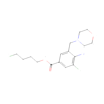 Nc1c(Br)cc(C(=O)OCCCCCl)cc1CN1CCOCC1